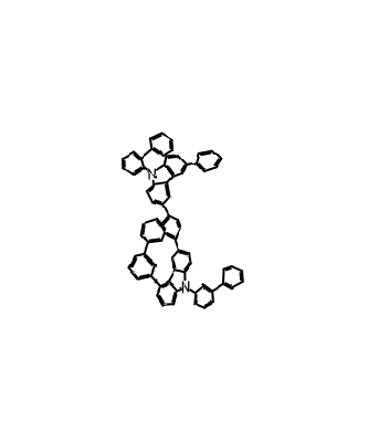 c1ccc(-c2cccc(-c3cccc4c3c3cc(-c5ccc(-c6ccc7c(c6)c6cc(-c8ccccc8)ccc6n7-c6ccccc6-c6ccccc6)cc5)ccc3n4-c3cccc(-c4ccccc4)c3)c2)cc1